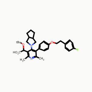 Cc1nc(C)c(C(OC(C)(C)C)C(=O)O)c(N2CC3CCCC3C2)c1-c1ccc(OCCc2ccc(F)cc2)cc1